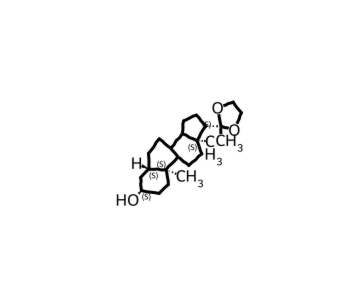 CC1([C@H]2CCC3C4CC[C@H]5C[C@@H](O)CC[C@]5(C)C4CC[C@@]32C)OCCO1